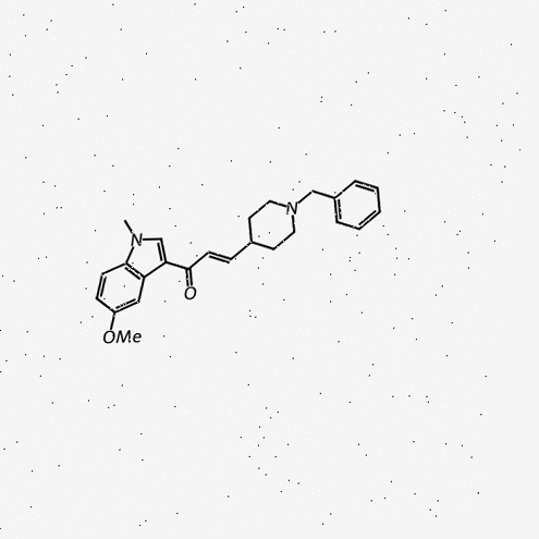 COc1ccc2c(c1)c(C(=O)/C=C/C1CCN(Cc3ccccc3)CC1)cn2C